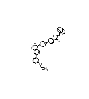 CCOc1cncc(-c2ccc(C(C)N3CCN(c4ccc(C(=O)NCC56CC7CC(CC(C7)C5)C6)cc4)CC3)c(F)c2)c1